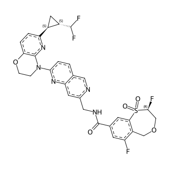 O=C(NCc1cc2nc(N3CCOc4ccc([C@H]5C[C@@H]5C(F)F)nc43)ccc2cn1)c1cc(F)c2c(c1)S(=O)(=O)[C@@H](F)COC2